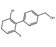 CC(C)C1=C(c2ccc(CO)cc2)C(F)=CC[CH]1